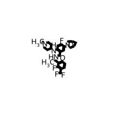 C[C@@H](NC(=O)c1cc(N2CC3CC(C2)O3)c(F)cc1NC1CCN(C)CC1)c1cccc(C(F)F)c1F